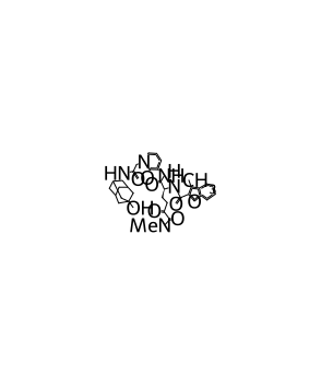 CNC(=O)C(=O)CC[C@H](NC(=O)c1oc2ccccc2c1C)C(=O)Nc1cccn(CC(=O)NC2C3CC4CC2CC(O)(C4)C3)c1=O